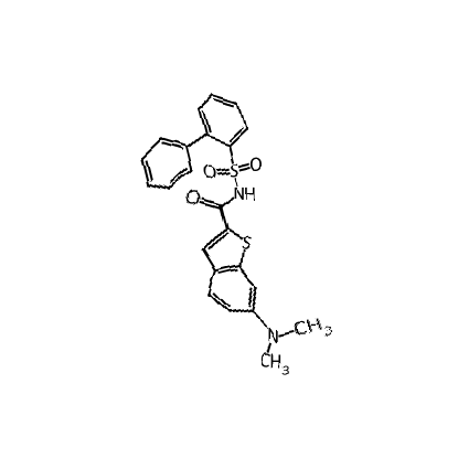 CN(C)c1ccc2cc(C(=O)NS(=O)(=O)c3ccccc3-c3ccccc3)sc2c1